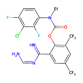 CCN(C(=O)Oc1c(C(=N)/N=C\N)cc(C(F)(F)F)cc1C(F)(F)F)c1ccc(F)c(Cl)c1F